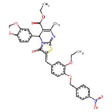 CCOC(=O)C1=C(C)N=c2s/c(=C\c3ccc(OCc4ccc([N+](=O)O)cc4)c(OCC)c3)c(=O)n2C1c1ccc2c(c1)OCO2